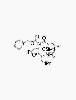 CC(C)CC(N)C(=O)N(C(=O)OCc1ccccc1)C(CC(C)C)(C(=O)O)C(=O)C(N)CC(C)C